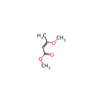 COC(=O)C=C(C)OC